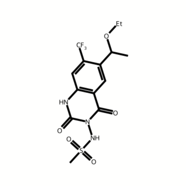 CCOC(C)c1cc2c(=O)n(NS(C)(=O)=O)c(=O)[nH]c2cc1C(F)(F)F